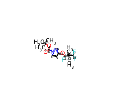 CC(C)(C)OC(=O)n1ccc(OC(F)C(C)(C)C(F)F)n1